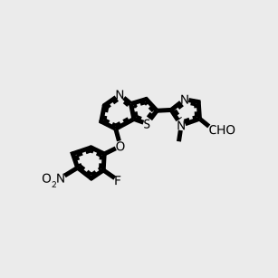 Cn1c(C=O)cnc1-c1cc2nccc(Oc3ccc([N+](=O)[O-])cc3F)c2s1